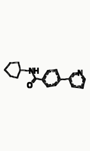 O=C(NC1CCCCC1)c1ccc(-c2cccnc2)cc1